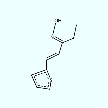 CCC(/C=C/c1cccs1)=NO